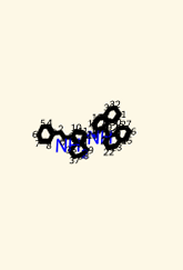 N[C@H](CC1=CCCC=C1)c1ccc(Nc2ccc3c(c2C2=CC=CC4C=CCCC24)C=CCC3)c2c1CCC=C2